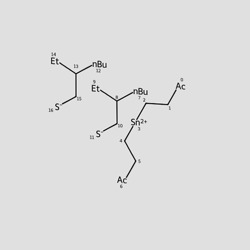 CC(=O)C[CH2][Sn+2][CH2]CC(C)=O.CCCCC(CC)C[S-].CCCCC(CC)C[S-]